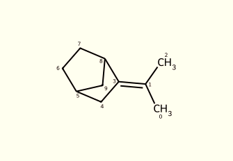 CC(C)=C1CC2CCC1C2